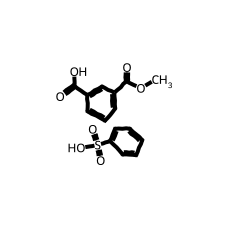 COC(=O)c1cccc(C(=O)O)c1.O=S(=O)(O)c1ccccc1